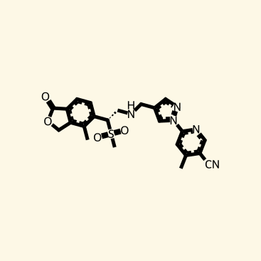 Cc1cc(-n2cc(CNC[C@@H](c3ccc4c(c3C)COC4=O)S(C)(=O)=O)cn2)ncc1C#N